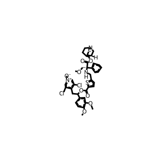 COC[C@](NCc1ccc(C(=O)OC(Cc2c(Cl)c[n+]([O-])cc2Cl)c2ccc(OC)c(OC)c2)s1)(C(=O)O[C@H]1CN2CCC1CC2)c1ccccc1